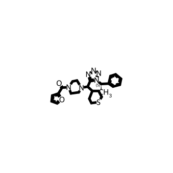 C[C@@H](c1ccccc1)n1nnnc1C(C1CCSCC1)N1CCN(C(=O)c2ccco2)CC1